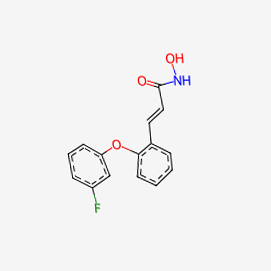 O=C(/C=C/c1ccccc1Oc1cccc(F)c1)NO